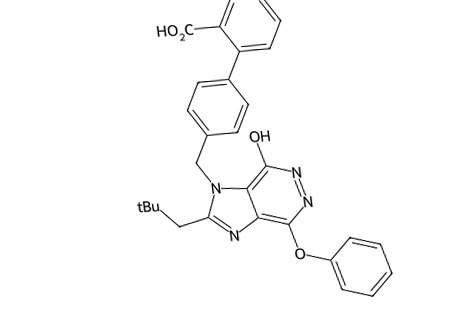 CC(C)(C)Cc1nc2c(Oc3ccccc3)nnc(O)c2n1Cc1ccc(-c2ccccc2C(=O)O)cc1